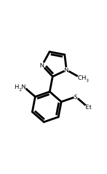 CCSc1cccc(N)c1-c1nccn1C